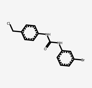 O=C(Nc1ccc(CCl)cc1)Nc1cccc(Br)c1